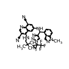 Cn1ncc2c(C(Nc3cc(C#N)c4ncc(C#N)c(NCC(C)(C)C)c4c3)c3cn(C4(C(F)(F)F)CC4)nn3)cccc21